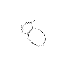 C[n+]1cncc2c1CCCCCCC2